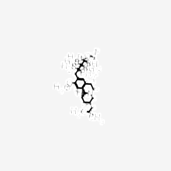 BC(B)(Cc1cc2c(cc1OC)[C@H]1CC[C@H](CC(C)C)CN1CC2)C(B)(B)C(B)(B)OSI